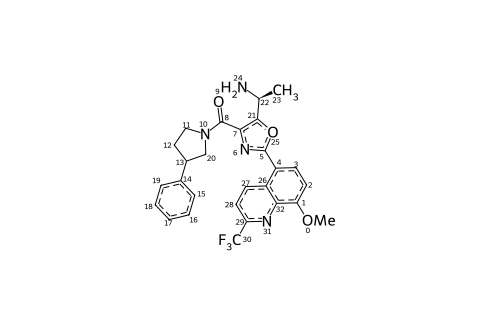 COc1ccc(-c2nc(C(=O)N3CCC(c4ccccc4)C3)c([C@H](C)N)o2)c2ccc(C(F)(F)F)nc12